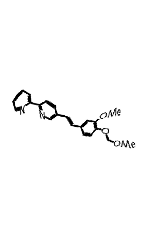 COCOc1ccc(C=Cc2ccc(-c3ccccn3)nc2)cc1OC